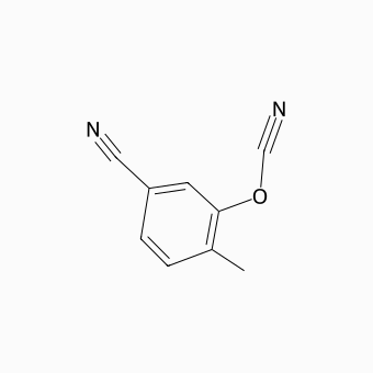 Cc1ccc(C#N)cc1OC#N